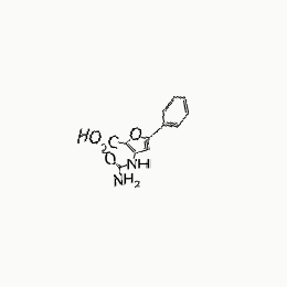 NC(=O)Nc1cc(-c2ccccc2)oc1C(=O)O